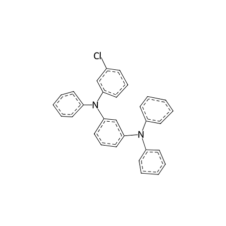 Clc1cccc(N(c2ccccc2)c2cccc(N(c3ccccc3)c3ccccc3)c2)c1